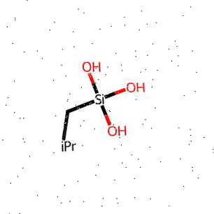 CC(C)C[Si](O)(O)O